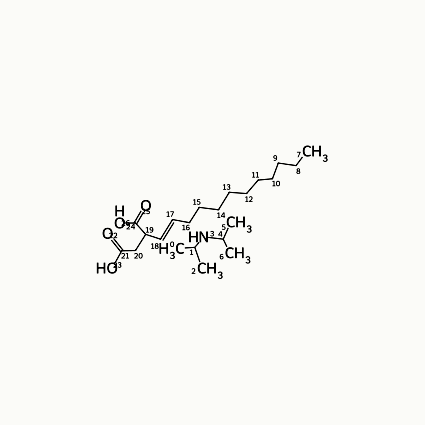 CC(C)NC(C)C.CCCCCCCCCCC=CC(CC(=O)O)C(=O)O